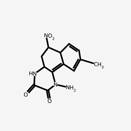 CC1=CC2=C3C(CC([N+](=O)[O-])C2C=C1)NC(=O)C(=O)N3N